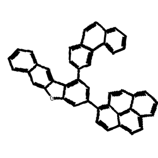 c1ccc2cc3c(cc2c1)oc1cc(-c2ccc4ccc5cccc6ccc2c4c56)cc(-c2ccc4ccc5ccccc5c4c2)c13